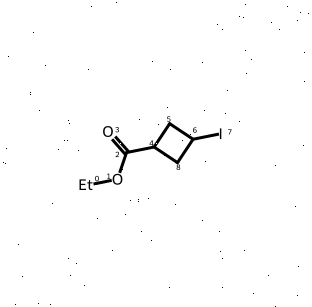 CCOC(=O)C1CC(I)C1